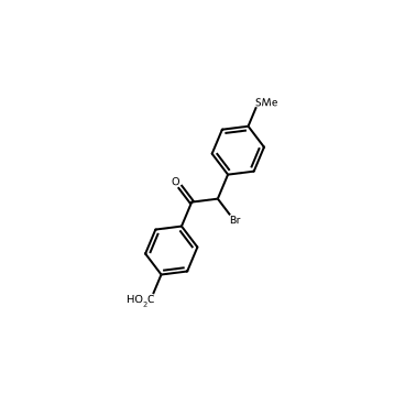 CSc1ccc(C(Br)C(=O)c2ccc(C(=O)O)cc2)cc1